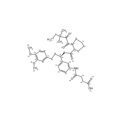 CCC(C)(C)C(=O)C(=O)N1CCCCC1C(=O)C[C@H](CCc1ccc(OC)c(OC)c1)c1cccc(NC(=O)CCC(=O)O)c1